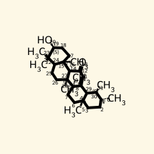 C[C@@H]1CC[C@]2(C)CC[C@]3(C)C(=CC(=O)C4[C@@]5(C)CC[C@H](O)C(C)(C)C5CC[C@]43C)C2[C@H]1C